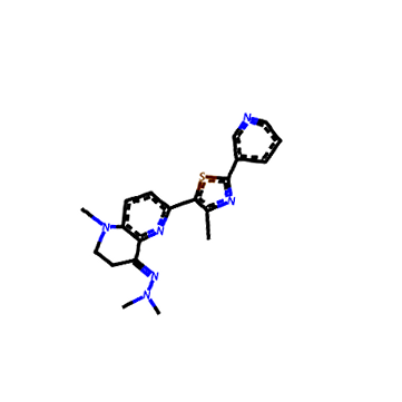 Cc1nc(-c2cccnc2)sc1-c1ccc2c(n1)/C(=N/N(C)C)CCN2C